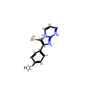 Cc1ccc(-c2nc3ncccn3c2Br)cc1